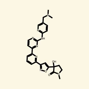 CN(C)Cc1ccc(Nc2nccc(-c3cccc(-c4cc(C5(O)CCN(C)C5=O)on4)n3)n2)nc1